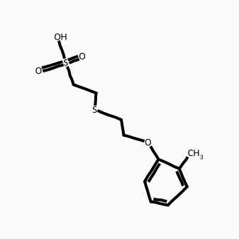 Cc1ccccc1OCCSCCS(=O)(=O)O